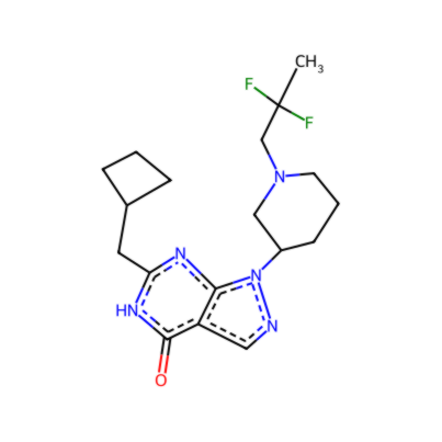 CC(F)(F)CN1CCCC(n2ncc3c(=O)[nH]c(CC4CCC4)nc32)C1